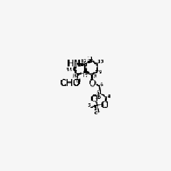 CC1(C)OCC(COc2cccc3[nH]cc(C=O)c23)O1